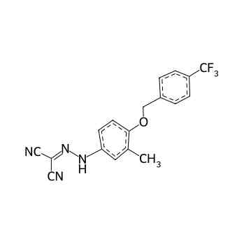 Cc1cc(NN=C(C#N)C#N)ccc1OCc1ccc(C(F)(F)F)cc1